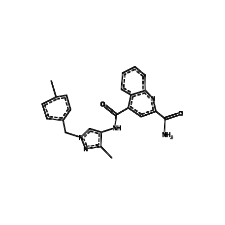 Cc1ccc(Cn2cc(NC(=O)c3cc(C(N)=O)nc4ccccc34)c(C)n2)cc1